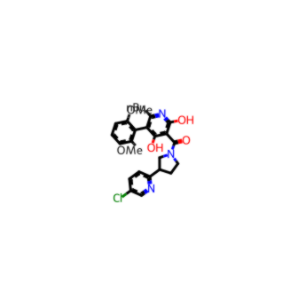 CCCCc1nc(O)c(C(=O)N2CCC(c3ccc(Cl)cn3)C2)c(O)c1-c1c(OC)cccc1OC